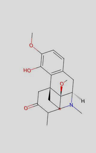 COc1ccc2c(c1O)[C@]13CCN(C)[C@H](C2)[C@]1(OC)CC(C)C(=O)C3